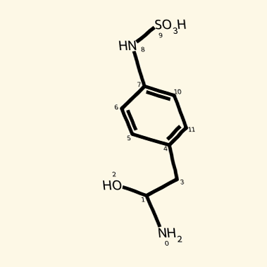 NC(O)Cc1ccc(NS(=O)(=O)O)cc1